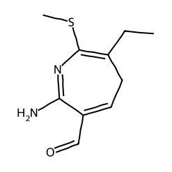 CCC1=C(SC)N=C(N)C(C=O)=CC1